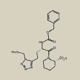 COCn1nnnc1CC[C@H](NC(=O)OCc1ccccc1)C(=O)N1CCCC[C@H]1C(=O)O